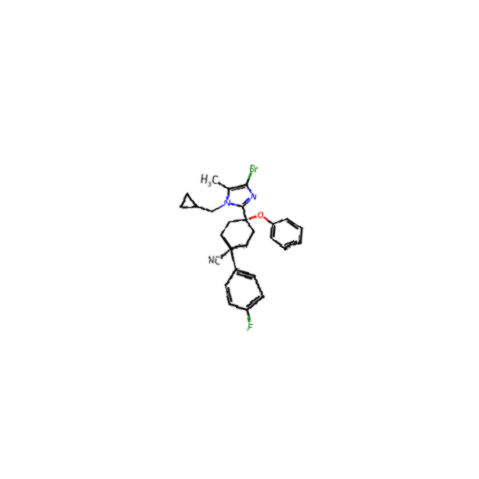 Cc1c(Br)nc([C@]2(Oc3ccccc3)CC[C@](C#N)(c3ccc(F)cc3)CC2)n1CC1CC1